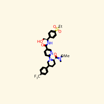 CCS(=O)(=O)c1ccc([C@H](CO)NC(=O)c2ccc(N3CC(c4ccc(C(F)(F)F)cc4)CC[C@H]3C(=O)N(C)OC)nc2)cc1